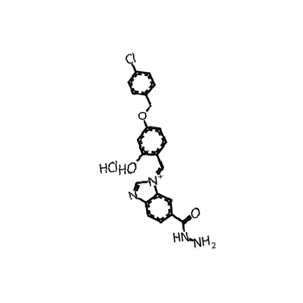 Cl.NNC(=O)c1ccc2c(c1)[N+](=Cc1ccc(OCc3ccc(Cl)cc3)cc1O)C=N2